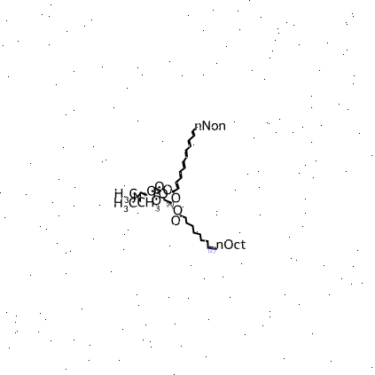 CCCCCCCC/C=C\CCCCCCCC(=O)OC[C@H](COP(=O)([O-])OCC[N+](C)(C)C)OC(=O)C=CC=CC=CC=CC=CC=CCCCCCCCCC